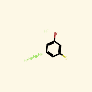 F.F.F.F.F.[S]c1cccc(Br)c1